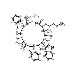 C[C@@H](O)[C@@H]1NC(=O)C(CCCCN)N(C)C(O)[C@@H](Cc2cc3ccccc3[nH]2)N(C)C(O)N[C@H](Cc2ccccc2)C(=O)[C@@H]2CCCN2C(=O)[C@H](Cc2ccccc2)N(C)C1=O